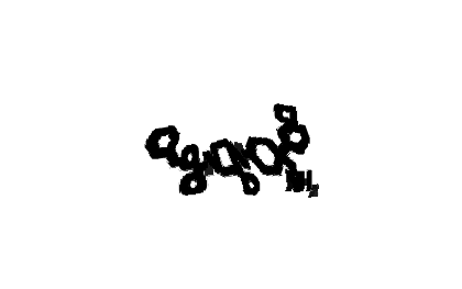 NCC1(c2cccc(Cl)c2)CCC(N2CCN(C(=O)OCc3ccccc3)CC2=O)CC1